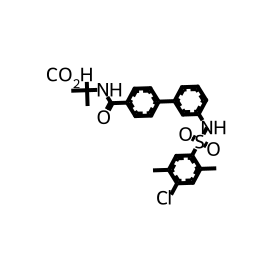 Cc1cc(S(=O)(=O)Nc2cccc(-c3ccc(C(=O)NC(C)(C)C(=O)O)cc3)c2)c(C)cc1Cl